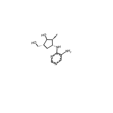 Nc1cncnc1N[C@@H]1C[C@H](CO)C(O)[C@H]1F